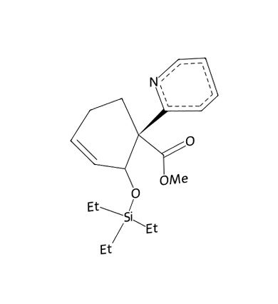 CC[Si](CC)(CC)OC1C=CCC[C@@]1(C(=O)OC)c1ccccn1